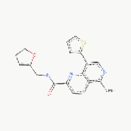 CNc1ncc(-c2cccs2)c2nc(C(=O)NCC3=CCCO3)ccc12